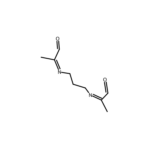 CC(C=O)=NCCCN=C(C)C=O